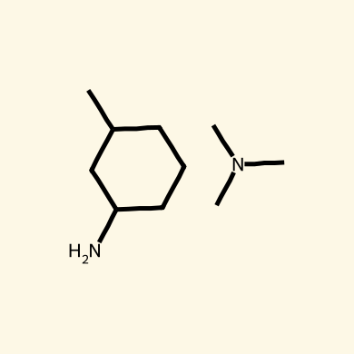 CC1CCCC(N)C1.CN(C)C